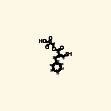 O=C(OCS(=O)(=O)O)C(=CS)Cc1ccccc1